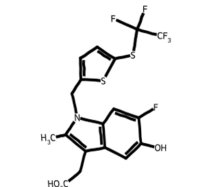 Cc1c(CC(=O)O)c2cc(O)c(F)cc2n1Cc1ccc(SC(F)(F)C(F)(F)F)s1